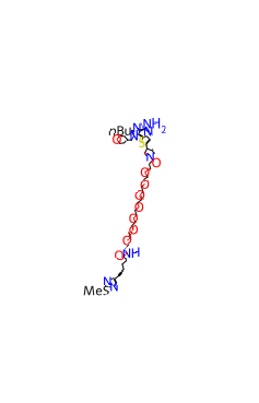 CCCCc1nc2c(N)nc3cc(C4CCN(C(=O)CCOCCOCCOCCOCCOCCOCCOCCNC(=O)CCCC#Cc5cnc(SC)nc5)CC4)sc3c2n1CC1CCOCC1